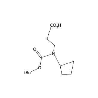 CC(C)(C)OC(=O)N(CCC(=O)O)C1CCC1